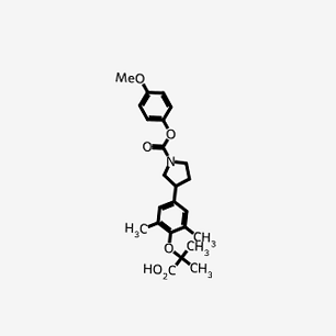 COc1ccc(OC(=O)N2CCC(c3cc(C)c(OC(C)(C)C(=O)O)c(C)c3)C2)cc1